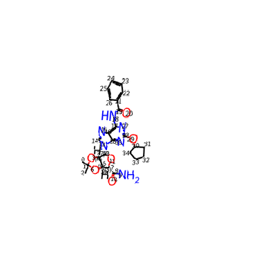 CC1(C)O[C@@H]2[C@H](O1)[C@@H](C(N)=O)O[C@H]2n1cnc2c(NC(=O)c3ccccc3)nc(OC3CCCC3)nc21